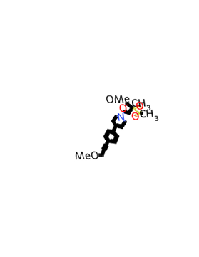 COCC#Cc1ccc(C2=CCN(CCC(C)(C(=O)OC)S(C)(=O)=O)CC2)cc1